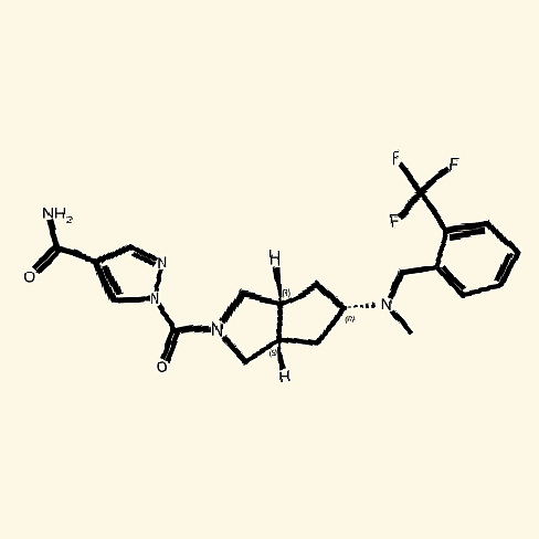 CN(Cc1ccccc1C(F)(F)F)[C@@H]1C[C@@H]2CN(C(=O)n3cc(C(N)=O)cn3)C[C@@H]2C1